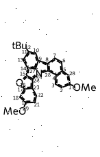 COc1ccc2c(ccc3c4cc(C(C)(C)C)cc5c6oc7cc(OC)ccc7c6n(c23)c45)c1